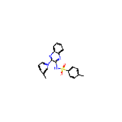 Cc1ccc(S(=O)(=O)Nc2nc3ccccc3nc2-[n+]2cccc(C)c2)cc1